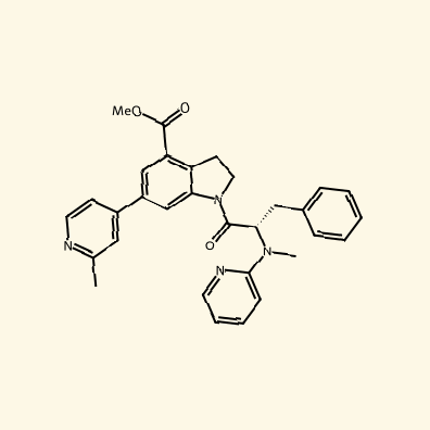 COC(=O)c1cc(-c2ccnc(C)c2)cc2c1CCN2C(=O)[C@H](Cc1ccccc1)N(C)c1ccccn1